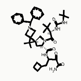 CC(C)(C)NC(=O)N[C@H](C(=O)N1C[C@@]2(C[C@H]1C(=O)NC(CC1CCC1)C(=O)C(N)=O)C(C)(C)C21CN(C(c2ccccc2)c2ccccc2)C1)C(C)(C)C